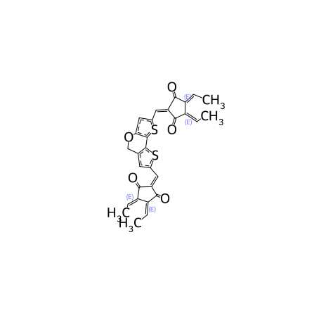 C/C=C1/C(=O)C(=Cc2cc3c(s2)-c2sc(C=C4C(=O)C(=C/C)/C(=C\C)C4=O)cc2OC3)C(=O)/C1=C/C